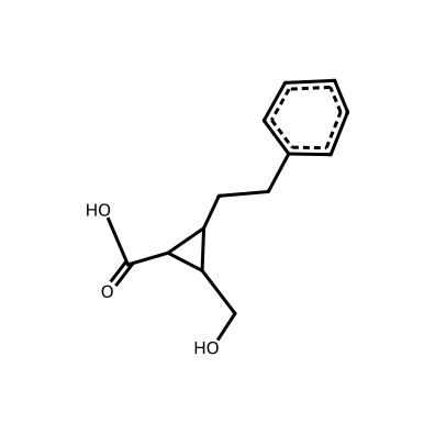 O=C(O)C1C(CO)C1CCc1ccccc1